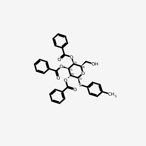 Cc1ccc(S[C@@H]2O[C@H](CO)[C@H](OC(=O)c3ccccc3)[C@H](OC(=O)c3ccccc3)[C@H]2OC(=O)c2ccccc2)cc1